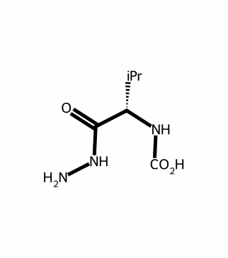 CC(C)[C@H](NC(=O)O)C(=O)NN